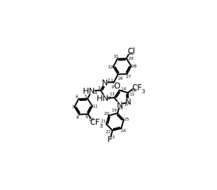 O=C(/N=C(/Nc1cccc(C(F)(F)F)c1)Nc1cc(C(F)(F)F)nn1-c1ccc(F)cc1)c1ccc(Cl)cc1